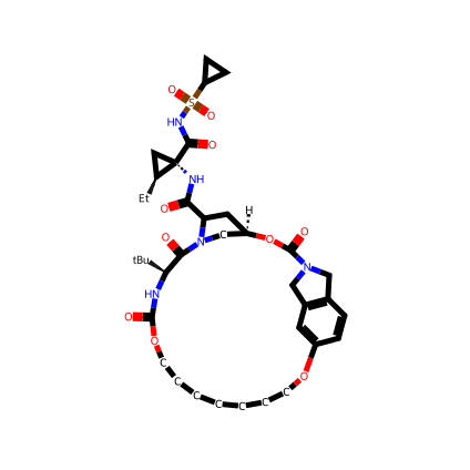 CC[C@H]1C[C@@]1(NC(=O)C1C[C@@H]2CN1C(=O)[C@H](C(C)(C)C)NC(=O)OCCCCCCCOc1ccc3c(c1)CN(C3)C(=O)O2)C(=O)NS(=O)(=O)C1CC1